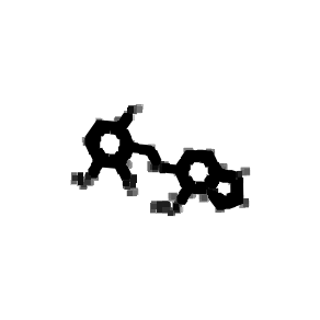 Cc1ccc(F)c(CNc2ccc3nccn3c2C(=O)O)c1Cl